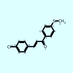 CSc1ccc(C(=O)/C=C/c2ccc(Cl)cc2)cc1